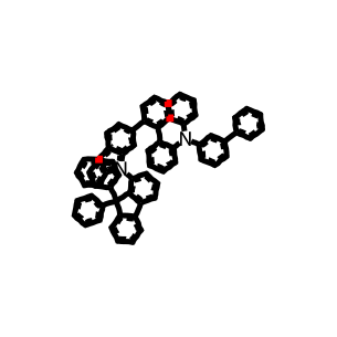 c1ccc(-c2cccc(N(c3ccccc3)c3ccccc3-c3ccccc3-c3ccc4c5ccccc5n(-c5cccc6c5C(c5ccccc5)(c5ccccc5)c5ccccc5-6)c4c3)c2)cc1